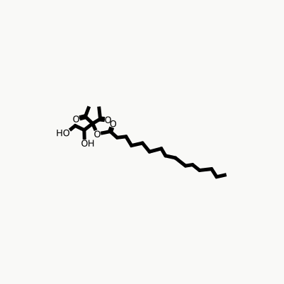 CCCCCCCCCCCCCCC(=O)OC(C(C)=O)(C(C)=O)C(O)CO